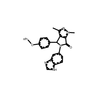 CCCOc1ccc(C2c3c(C)nn(C)c3C(=O)N2c2ccc3[nH]cnc3c2)cc1